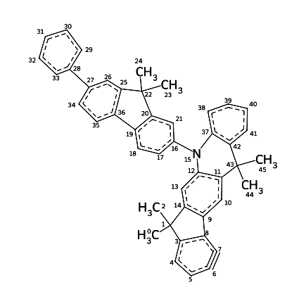 CC1(C)c2ccc#cc2-c2cc3c(cc21)N(c1ccc2c(c1)C(C)(C)c1cc(-c4ccccc4)ccc1-2)c1ccccc1C3(C)C